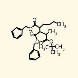 CCCCC(C(=O)OCc1ccccc1)C(C(=O)OCc1ccccc1)C(C)C(=O)OC(C)(C)C